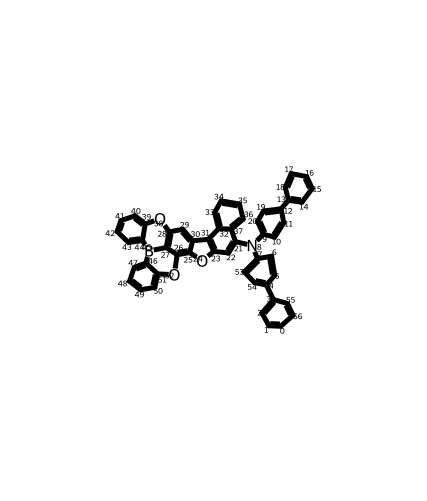 c1ccc(-c2ccc(N(c3ccc(-c4ccccc4)cc3)c3cc4oc5c6c7c(cc5c4c4ccccc34)Oc3ccccc3B7c3ccccc3O6)cc2)cc1